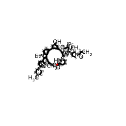 C=CC(=O)N1CC[C@H](C(=O)N(C)C(C(=O)N[C@H]2Cc3cc(O)cc(c3)-c3ccc4c(c3)c(c(-c3ccc(N5CCN(C)CC5)nc3)n4CC)CC(C)(C)COC(=O)[C@@H]3CCCN(N3)C2=O)C(C)C)C1